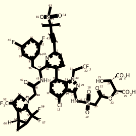 CC(C)(C#Cc1ccc(-c2ccc(Cl)c3c(NS(=O)(=O)CC(=O)O[C@H](C(=O)O)[C@H](O)C(=O)O)nn(CC(F)(F)F)c23)c([C@H](Cc2cc(F)cc(F)c2)NC(=O)Cn2cc(C(F)(F)F)c3c2C(F)(F)C2C[C@H]32)n1)S(C)(=O)=O